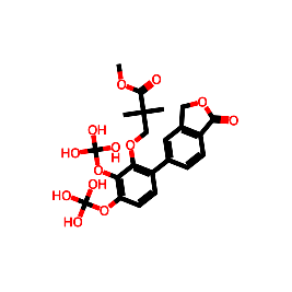 COC(=O)C(C)(C)COc1c(-c2ccc3c(c2)COC3=O)ccc(OC(O)(O)O)c1OC(O)(O)O